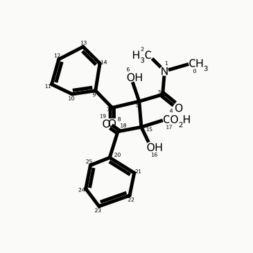 CN(C)C(=O)C(O)(C(=O)c1ccccc1)C(O)(C(=O)O)C(=O)c1ccccc1